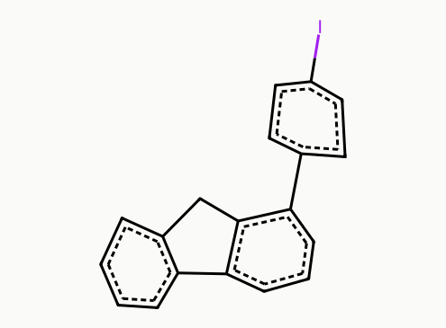 Ic1ccc(-c2cccc3c2Cc2ccccc2-3)cc1